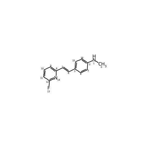 CNc1ccc(/C=C/c2cccc(F)n2)cc1